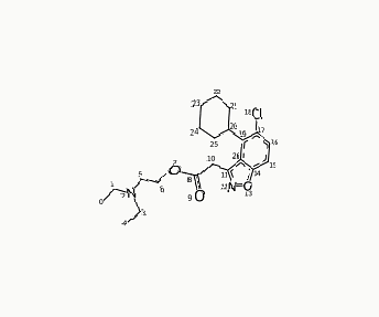 CCN(CC)CCOC(=O)Cc1noc2ccc(Cl)c(C3CCCCC3)c12